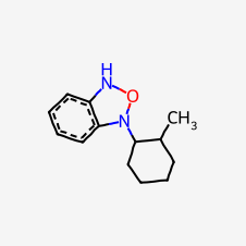 CC1CCCCC1N1ONc2ccccc21